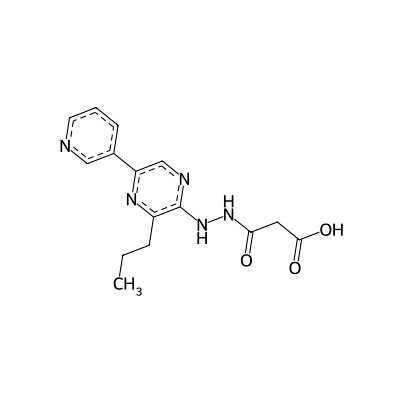 CCCc1nc(-c2cccnc2)cnc1NNC(=O)CC(=O)O